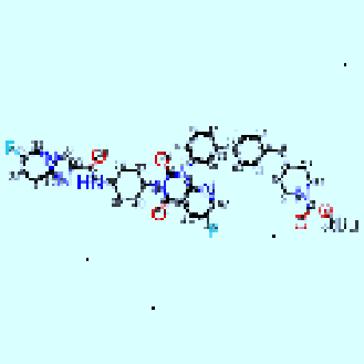 CC(C)(C)OC(=O)N1CCC(Cc2ccc(-c3cccc(-n4c(=O)n(C5CCC(NC(=O)c6cn7cc(F)ccc7n6)CC5)c(=O)c5cc(F)cnc54)c3)cc2)CC1